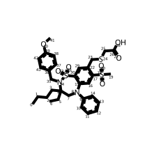 CCCCC1(CC)CN(c2ccccc2)c2cc(S(C)(=O)=O)c(CSCC(=O)O)cc2S(=O)(=O)N1Cc1ccc(OC)cc1